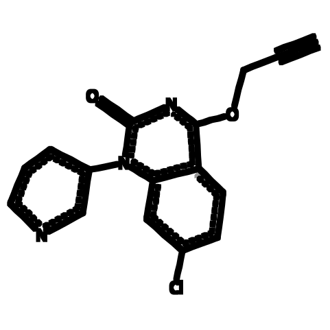 C#CCOc1nc(=O)n(-c2cccnc2)c2cc(Cl)ccc12